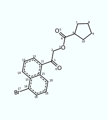 O=C(COC(=O)C1CCCC1)c1cccc2c(Br)cccc12